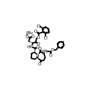 CC(C)(C)OC(=O)C[C@H](NC(=O)[C@@H]1CCCN2C(=O)CC[C@H](NC(=O)OCc3ccccc3)C(=O)N12)C(=O)COC(=O)c1c(Cl)cccc1Cl